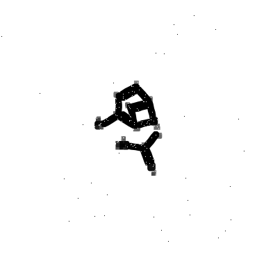 CC(=O)O.Clc1ccc2cc1O2